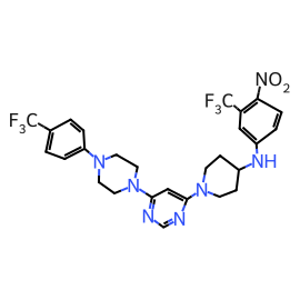 O=[N+]([O-])c1ccc(NC2CCN(c3cc(N4CCN(c5ccc(C(F)(F)F)cc5)CC4)ncn3)CC2)cc1C(F)(F)F